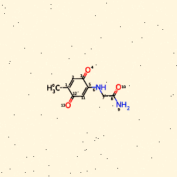 CC1=CC(=O)C(NCC(N)=O)=CC1=O